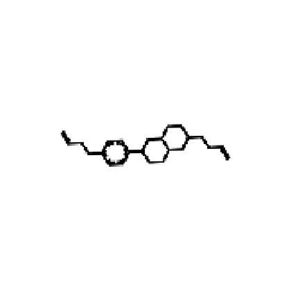 C=CCCc1ccc(C2CCC3CC(CCC=C)CCC3C2)cc1